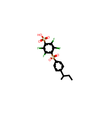 CCC(C)c1ccc(S(=O)(=O)c2c(F)c(F)c(S(=O)(=O)O)c(F)c2F)cc1